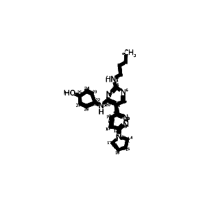 CCCCNc1ncc(-c2ccc(N3CCCC3)nn2)c(NC2CCC(O)CC2)n1